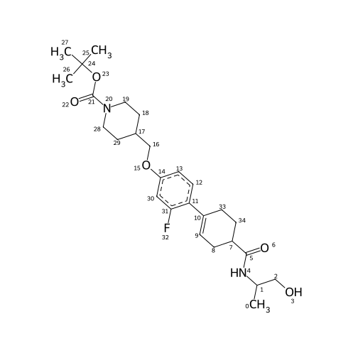 CC(CO)NC(=O)C1CC=C(c2ccc(OCC3CCN(C(=O)OC(C)(C)C)CC3)cc2F)CC1